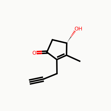 C#CCC1=C(C)[C@@H](O)CC1=O